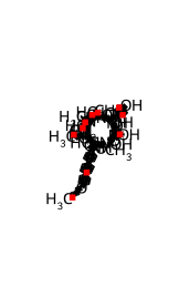 CCCCCOc1ccc(-c2ccc(C3C=CC(C(=O)N[C@H]4C[C@@H](O)C(OCCN(C)C)NC(=O)C5[C@@H](O)[C@@H](C)CN5C(=O)C([C@@H](C)O)NC(=O)C([C@H](O)[C@@H](O)c5ccc(O)cc5)NC(=O)C5C[C@@H](O)CN5C(=O)C([C@@H](C)O)NC4=O)=CC3)cc2)cc1